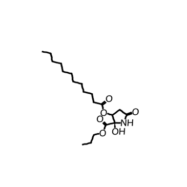 CCCCCCCCCCCC(=O)OC1CC(=O)N[C@]1(O)C(=O)OCCC